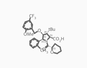 COc1ccc(C(F)(F)F)cc1CO[C@H]1[C@H](C(C)(C)C)[C@@H](C(=O)O)N(C(=O)[C@@H]2CCCCO2)[C@H]1c1ccccc1C